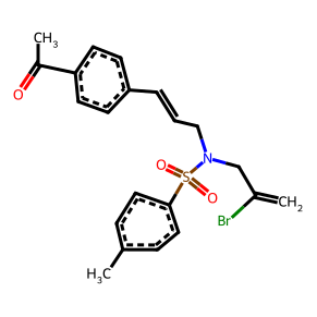 C=C(Br)CN(CC=Cc1ccc(C(C)=O)cc1)S(=O)(=O)c1ccc(C)cc1